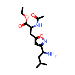 CCOC(=O)C(Cc1cc(C(N)CC(C)C)no1)NC(C)=O